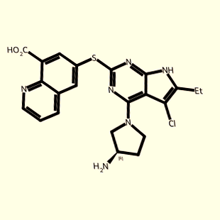 CCc1[nH]c2nc(Sc3cc(C(=O)O)c4ncccc4c3)nc(N3CC[C@@H](N)C3)c2c1Cl